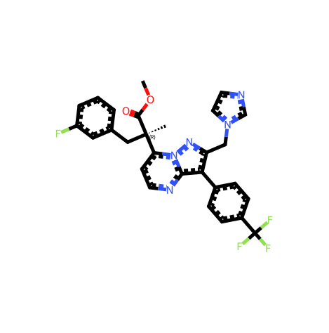 COC(=O)[C@](C)(Cc1cccc(F)c1)c1ccnc2c(-c3ccc(C(F)(F)F)cc3)c(Cn3ccnc3)nn12